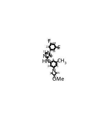 COC1CN(c2cc(C)cc(Nc3ncn(-c4cc(F)cc(F)c4)n3)c2)C1